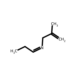 C=C(C)C/N=C\CC